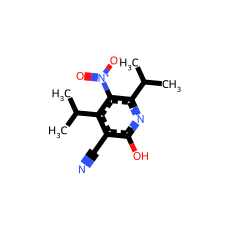 CC(C)c1nc(O)c(C#N)c(C(C)C)c1[N+](=O)[O-]